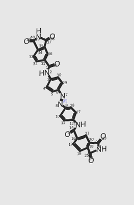 O=C(Nc1ccc(/N=N/c2ccc(NC(=O)c3ccc4c(c3)C(=O)NC4=O)cc2)cc1)c1ccc2c(c1)C(=O)NC2=O